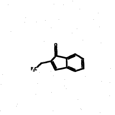 O=C1C(CC(F)(F)F)=Cc2ccccc21